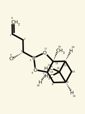 C=CC[C@@H](Cl)B1O[C@@H]2C[C@@H]3C[C@@H](C3(C)C)[C@]2(C)O1